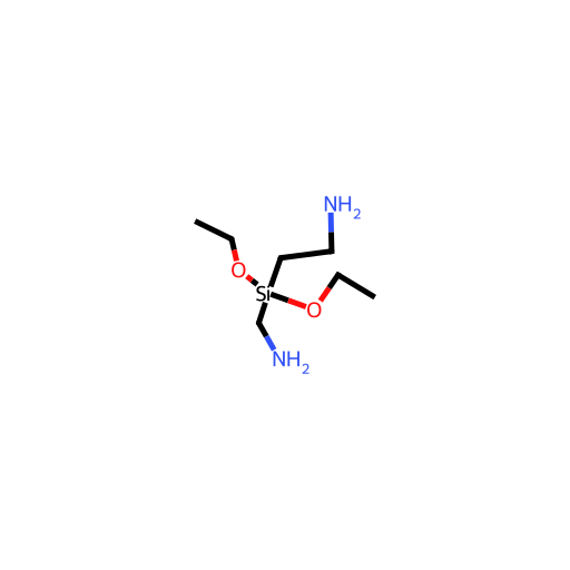 CCO[Si](CN)(CCN)OCC